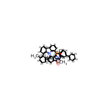 Cc1cc(C)c(-c2cccc3c4cccc(-c5c(C)cccc5C)c4n(-c4cccc5c4-c4pc6ccc(-c7ccccc7)cc6n4C5=O)c23)c(C)c1